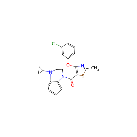 Cc1nc(Oc2cccc(Cl)c2)c(C(=O)N2CCN(C3CC3)c3ccccc32)s1